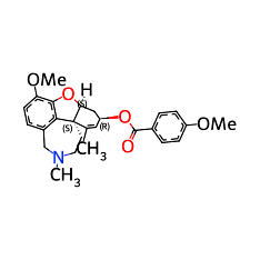 COc1ccc(C(=O)O[C@H]2C=C(C)[C@@]34CCN(C)Cc5ccc(OC)c(c53)O[C@H]4C2)cc1